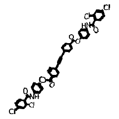 O=C(Oc1ccc(NC(=O)c2ccc(Cl)cc2Cl)cc1)c1ccc(C#Cc2ccc(C(=O)Oc3ccc(NC(=O)c4ccc(Cl)cc4Cl)cc3)cc2)cc1